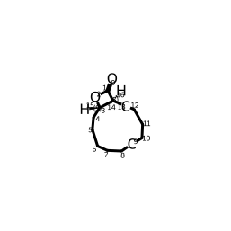 O=C1O[C@H]2CCCCCCCCCC[C@H]12